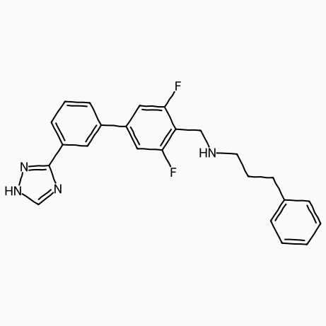 Fc1cc(-c2cccc(-c3nc[nH]n3)c2)cc(F)c1CNCCCc1ccccc1